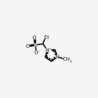 CCC([n+]1ccn(C)c1)S(=O)(=O)[O-]